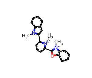 Cn1c(-c2cccc(-c3oc4ccccc4[n+]3C)[n+]2C)cc2ccccc21